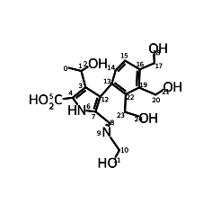 CC(O)c1c(C(=O)O)[nH]c(/C=N/CO)c1-c1ccc(CO)c(CO)c1CO